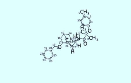 Cc1ccc(OC(C)(C)C(=O)N[C@@H]2[C@@H]3CC4CC(OCc5ccccc5)=C3[C@@H]2C4)cc1